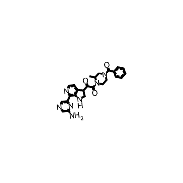 CC1CN(C(=O)c2ccccc2)CCN1C(=O)C(=O)C1CNc2c1ccnc2-c1cncc(N)n1